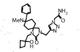 CNC1(c2ccccc2)CCC2(CC1)CN(Cc1cn(CC(N)=O)nn1)C(=O)N2CC1(O)CCC1